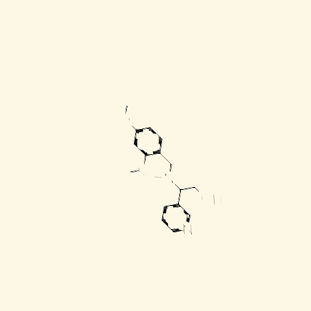 COc1ccc(CNC(CO)c2cccnc2)c(OC)c1